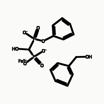 O=P([O-])([O-])C(O)P(=O)([O-])Oc1ccccc1.OCc1ccccc1.[Fe+3]